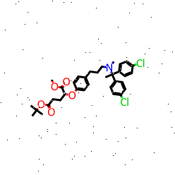 COC(=O)C(CCC(=O)OC(C)(C)C)Oc1ccc(CCCN(C)C(C)(c2ccc(Cl)cc2)c2ccc(Cl)cc2)cc1